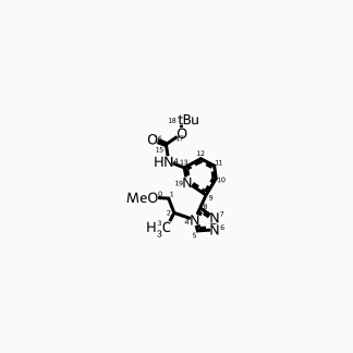 COCC(C)n1cnnc1-c1cccc(NC(=O)OC(C)(C)C)n1